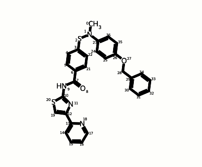 CN(Sc1ccc(C(=O)Nc2nc(-c3ccccn3)cs2)cc1)c1ccc(OCc2ccccc2)cc1